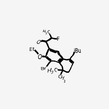 CCOc1c(C(=O)C(C)F)cc2c(c1Br)C(C)(C)CC=C2C(C)CC